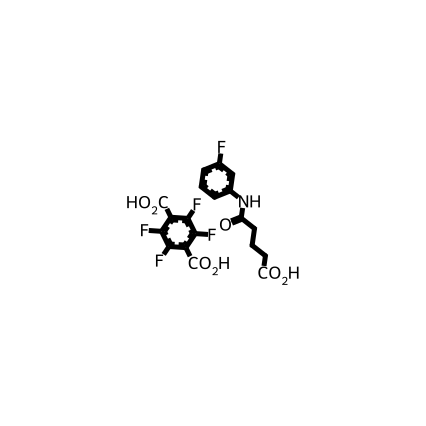 O=C(O)CCCC(=O)Nc1cccc(F)c1.O=C(O)c1c(F)c(F)c(C(=O)O)c(F)c1F